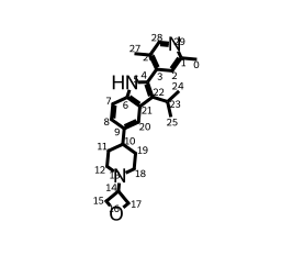 Cc1cc(-c2[nH]c3ccc(C4CCN(C5COC5)CC4)cc3c2C(C)C)c(C)cn1